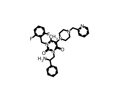 Cc1c(N2CCN(Cc3ccccn3)CC2)c(=O)n(CC(N)c2ccccc2)c(=O)n1Cc1c(F)cccc1F